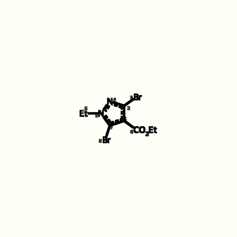 CCOC(=O)c1c(Br)nn(CC)c1Br